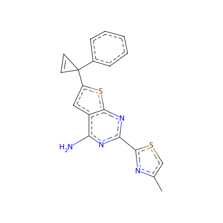 Cc1csc(-c2nc(N)c3cc(C4(c5ccccc5)C=C4)sc3n2)n1